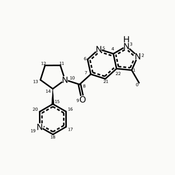 Cc1n[nH]c2ncc(C(=O)N3CCC[C@@H]3c3cccnc3)cc12